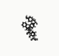 CC(=O)c1ccccc1.CSc1ccc(CC(C)N2CCOCC2)cc1.Cc1c(C(=O)O)cccc1C(=O)O